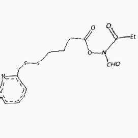 CCC(=O)N(C=O)OC(=O)CCCSSc1ccccn1